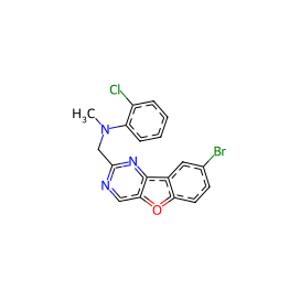 CN(Cc1ncc2oc3ccc(Br)cc3c2n1)c1ccccc1Cl